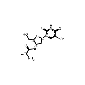 CCCc1cn([C@H]2C[C@H](NC(=O)[C@H](C)N)[C@@H](CO)O2)c(=O)[nH]c1=O